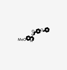 COc1ccc2c(SCC(=O)c3ccc(OCc4ccccc4)cc3)ccnc2c1